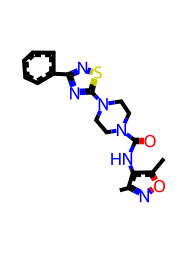 Cc1noc(C)c1NC(=O)N1CCN(c2nc(-c3ccccc3)ns2)CC1